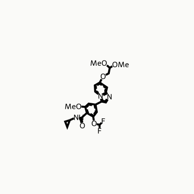 COc1cc(-c2cnc3cc(OCC(OC)OC)ccn23)cc(OC(F)F)c1C(=O)NC1CC1